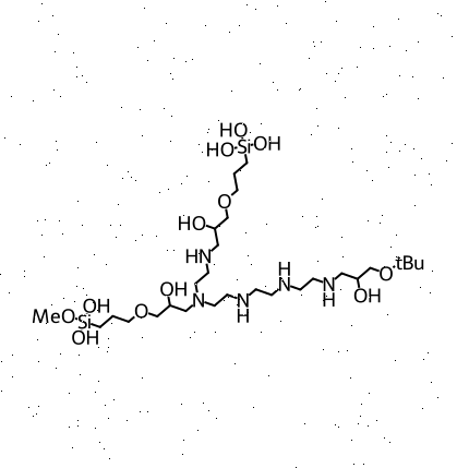 CO[Si](O)(O)CCCOCC(O)CN(CCNCCNCCNCC(O)COC(C)(C)C)CCNCC(O)COCCC[Si](O)(O)O